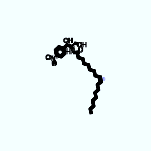 CCCCCCCC/C=C\CCCCCCCC(=O)N[C@H](CO)[C@@H](O)c1ccc([N+](=O)[O-])cc1